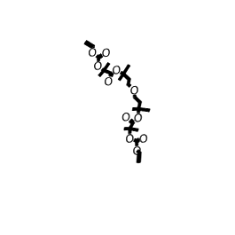 C=COC(=O)OC(C)(C)C(=O)OC(C)(C)CCOCCC(C)(C)OC(=O)C(C)(C)OC(=O)OC=C